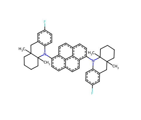 CC12CCCCC1(C)N(c1ccc3ccc4c(N5c6ccc(F)cc6CC6(C)CCCCC56C)ccc5ccc1c3c54)c1ccc(F)cc1C2